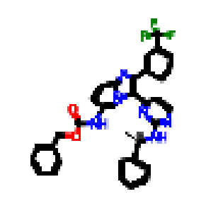 C[C@H](Nc1nccc(-c2c(-c3cccc(C(F)(F)F)c3)nc3ccc(NC(=O)OCc4ccccc4)cn23)n1)c1ccccc1